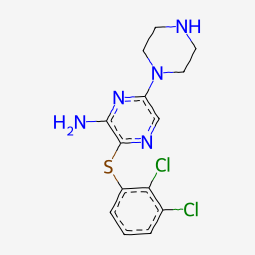 Nc1nc(N2CCNCC2)cnc1Sc1cccc(Cl)c1Cl